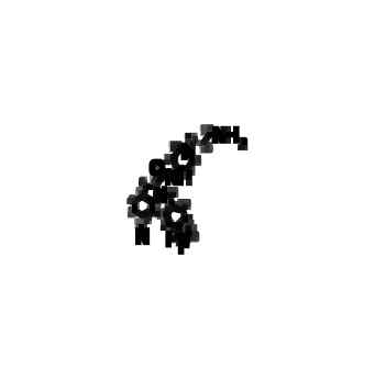 N#Cc1ccc2cc(C(=O)NC3CCN(CCCN)CC3)n(Cc3ccc(C(F)(F)F)cc3)c2c1